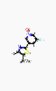 CNc1sc(-c2cc(F)c[n+]([O-])c2)nc1C